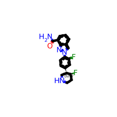 NC(=O)c1cccc2cn(-c3ccc([C@H]4CNCC[C@@H]4F)cc3F)nc12